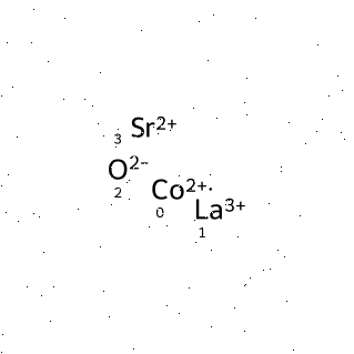 [Co+2].[La+3].[O-2].[Sr+2]